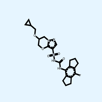 O=C(Nc1c2c(c(F)c3c1CCC3)CCC2)NS(=O)(=O)c1cnn2c1OCC(OCC1CC1)C2